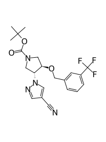 CC(C)(C)OC(=O)N1C[C@@H](n2cc(C#N)cn2)[C@H](OCc2cccc(C(F)(F)F)c2)C1